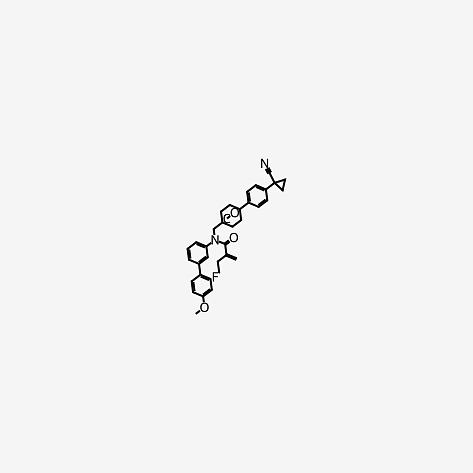 C=C(CCF)C(=O)N(CC12CCC(c3ccc(C4(C#N)CC4)cc3)(CC1)OC2)c1cccc(-c2ccc(OC)cc2)c1